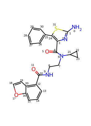 Nc1nc(C(=O)N(CCNC(=O)c2cccc3occc23)C2CC2)c(-c2ccccc2)s1